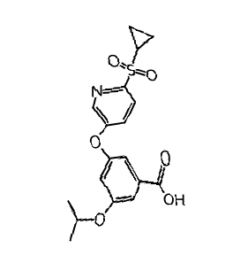 CC(C)Oc1cc(Oc2ccc(S(=O)(=O)C3CC3)nc2)cc(C(=O)O)c1